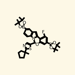 CC1(c2ncc(C3Oc4cc(B5OC(C)(C)C(C)(C)O5)cc(F)c4-c4cc5cc(B6OC(C)(C)C(C)(C)O6)ccc5n43)s2)CCCC1